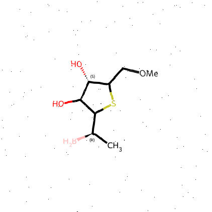 B[C@H](C)C1SC(COC)[C@@H](O)C1O